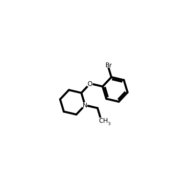 CCN1CCCCC1Oc1ccccc1Br